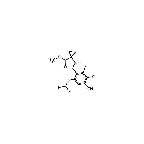 COC(=O)C1(NCc2c(OC(F)F)cc(O)c(Cl)c2F)CC1